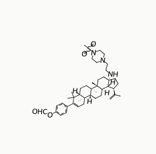 C=C(C)[C@@H]1CC[C@]2(NCCN3CCN(S(C)(=O)=O)CC3)CC[C@]3(C)[C@H](CC[C@@H]4[C@@]5(C)CC=C(c6ccc(OC=O)cc6)C(C)(C)[C@@H]5CC[C@]43C)[C@@H]12